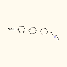 COc1ccc(-c2ccc([C@H]3CC[C@H](C/C=C/F)CC3)cc2)cc1